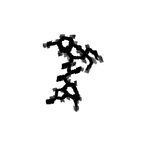 O=C(Nc1ccc(F)c2c1C[C@H](O)C2)N[C@@H]1CC(CF)(CF)Oc2ccc(F)cc21